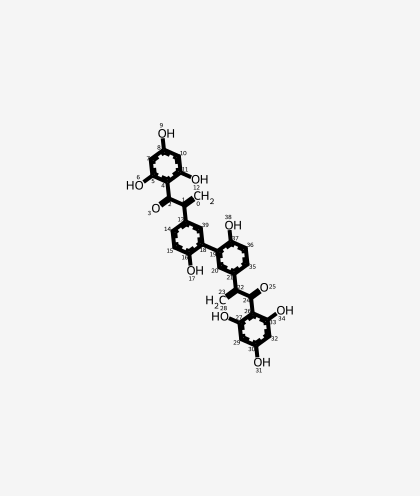 C=C(C(=O)c1c(O)cc(O)cc1O)c1ccc(O)c(-c2cc(C(=C)C(=O)c3c(O)cc(O)cc3O)ccc2O)c1